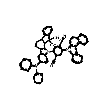 CC1(C)c2ccccc2C2C=Cc3c(n(-c4cc(C#N)c(-n5c6ccccc6c6c7ccccc7ccc65)cc4C#N)c4ccc(N(c5ccccc5)c5ccccc5)cc34)C21